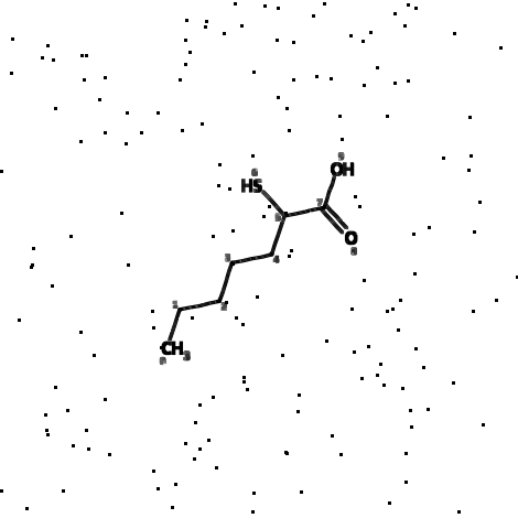 CCCCCC(S)C(=O)O